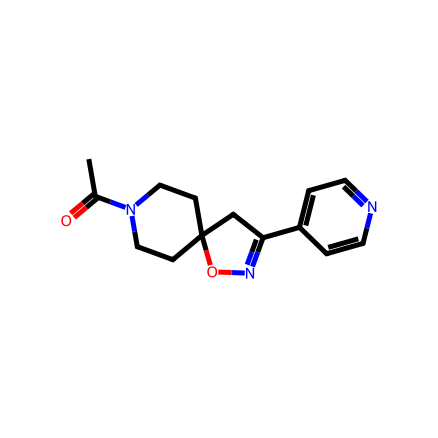 CC(=O)N1CCC2(CC1)CC(c1ccncc1)=NO2